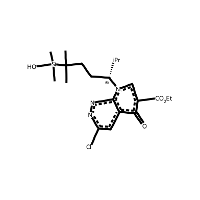 CCOC(=O)c1cn([C@H](CCC(C)(C)[Si](C)(C)O)C(C)C)c2nnc(Cl)cc2c1=O